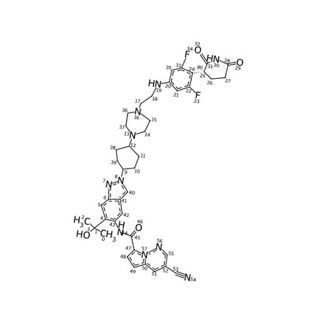 CC(C)(O)c1cc2nn(C3CCC(N4CCN(CCNc5cc(F)c([C@H]6CCC(=O)NC6=O)c(F)c5)CC4)CC3)cc2cc1NC(=O)c1ccc2cc(C#N)cnn12